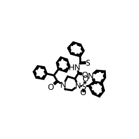 O=C(NC(=S)c1ccccc1)C1CN(C(=O)C(c2ccccc2)c2ccccc2)CCN1S(=O)(=O)c1cccc2cccnc12